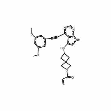 C=CC(=O)N1CC2(CC(Nc3c[nH]c4ncnc(C#Cc5cc(OC)cc(OC)c5)c34)C2)C1